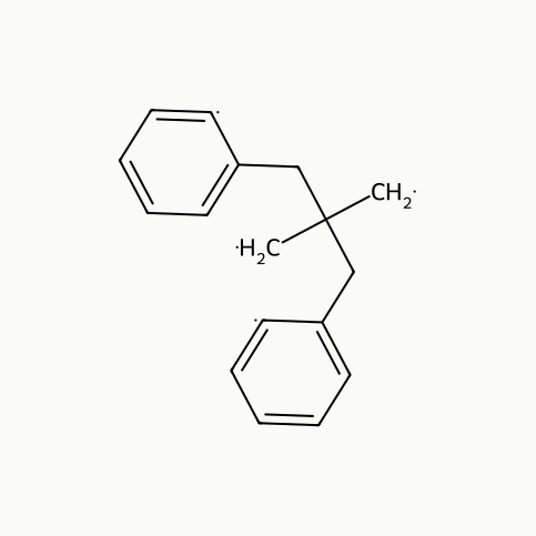 [CH2]C([CH2])(Cc1[c]cccc1)Cc1[c]cccc1